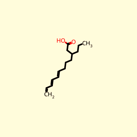 C=CC=CC=CCCCC(CCC)CC(=O)O